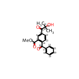 COC(=O)c1cc(C(=O)C(C)(C)O)ccc1C(=O)c1ccccc1